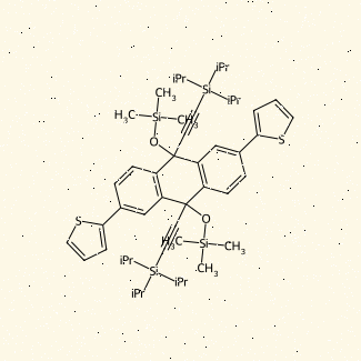 CC(C)[Si](C#CC1(O[Si](C)(C)C)c2ccc(-c3cccs3)cc2C(C#C[Si](C(C)C)(C(C)C)C(C)C)(O[Si](C)(C)C)c2ccc(-c3cccs3)cc21)(C(C)C)C(C)C